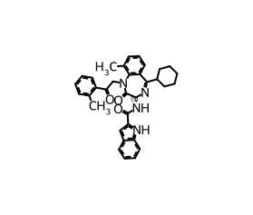 Cc1ccccc1C(=O)CN1C(=O)[C@@H](NC(=O)c2cc3ccccc3[nH]2)N=C(C2CCCCC2)c2cccc(C)c21